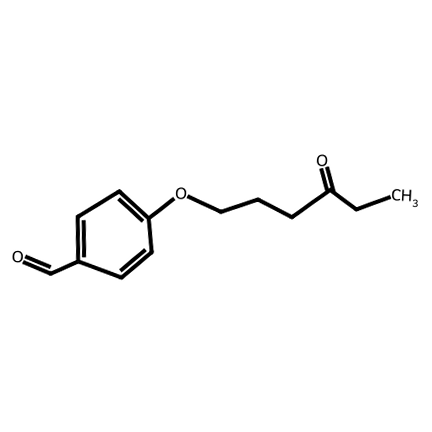 CCC(=O)CCCOc1ccc(C=O)cc1